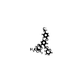 [C-]#[N+]c1ccc(Oc2ccc(B3OCC(C)(C)CO3)c(COC3CCCCO3)c2)cc1